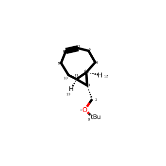 CC(C)(C)OC[C@H]1[C@@H]2CCC#CCC[C@@H]21